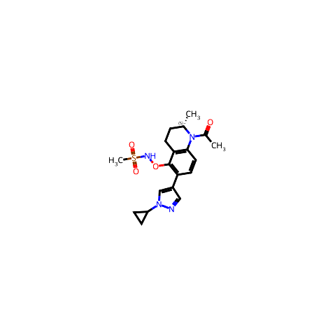 CC(=O)N1c2ccc(-c3cnn(C4CC4)c3)c(ONS(C)(=O)=O)c2CC[C@@H]1C